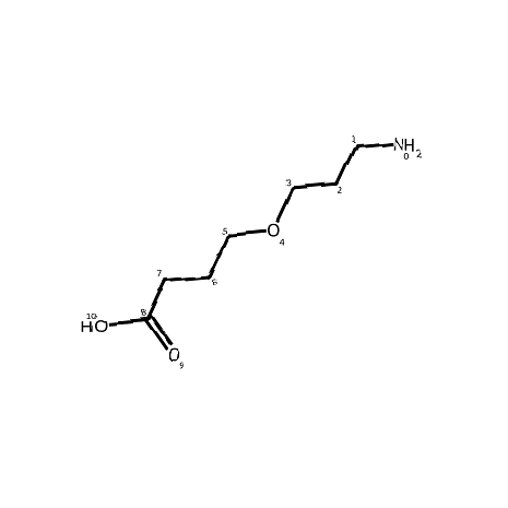 NCCCOCCCC(=O)O